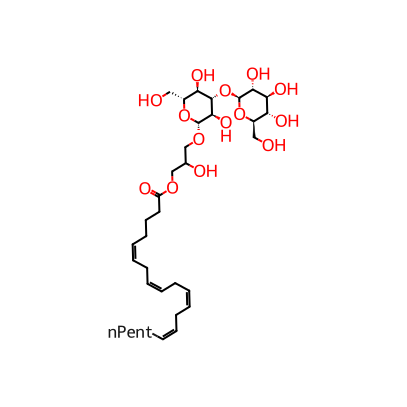 CCCCC/C=C\C/C=C\C/C=C\C/C=C\CCCC(=O)OCC(O)CO[C@@H]1O[C@H](CO)[C@@H](O)[C@H](O[C@@H]2O[C@H](CO)[C@@H](O)[C@H](O)[C@H]2O)[C@H]1O